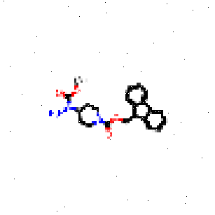 CC(C)(C)OC(=O)N(N)C1CCN(C(=O)OCC2c3ccccc3-c3ccccc32)CC1